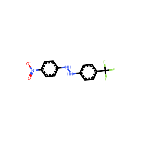 O=[N+]([O-])c1ccc(NNc2ccc(C(F)(F)F)cc2)cc1